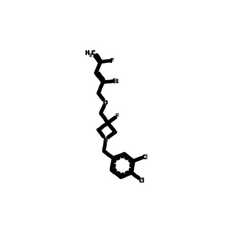 C=C(F)/C=C(\CC)COCC1(F)CN(Cc2ccc(Cl)c(Cl)c2)C1